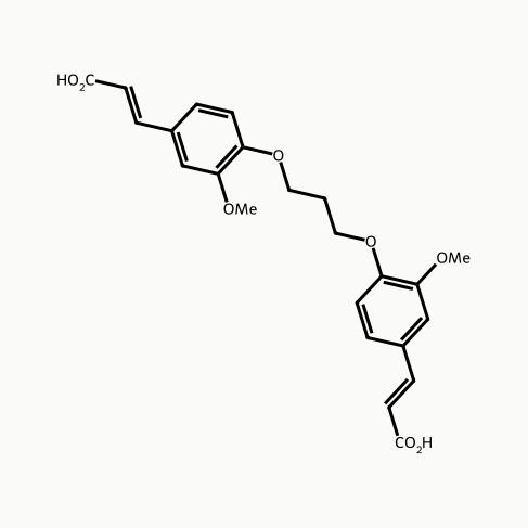 COc1cc(/C=C/C(=O)O)ccc1OCCCOc1ccc(/C=C/C(=O)O)cc1OC